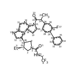 CC[C@@H]1CN(C(=O)NCC(F)(F)F)C[C@@H]1c1cnc2cnc3c(ccn3C(=O)C(C)c3ccc(-c4ccccc4)c(F)c3)n12